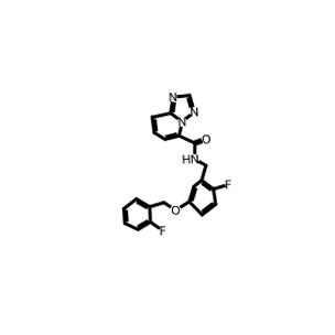 O=C(NCc1cc(OCc2ccccc2F)ccc1F)c1cccc2ncnn12